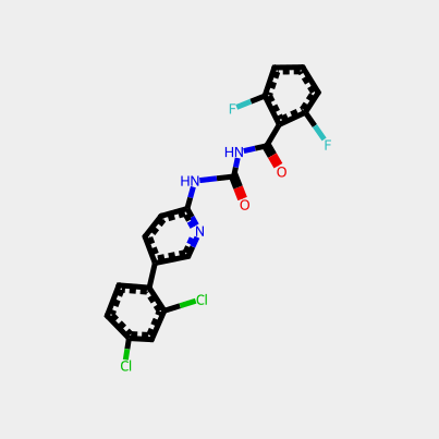 O=C(NC(=O)c1c(F)cccc1F)Nc1ccc(-c2ccc(Cl)cc2Cl)cn1